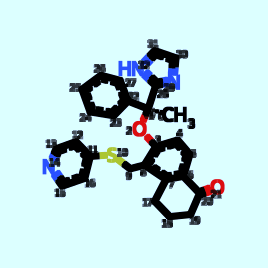 C[C@](Oc1ccc2c(c1CSc1ccncc1)CCCC2=O)(c1ccccc1)c1ncc[nH]1